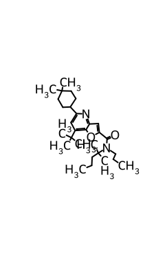 CCCN(C(=O)c1cc2nc(C3CCC(C)(C)CC3)cc(C(C)(C)C)c2o1)C(C)(C)CCC